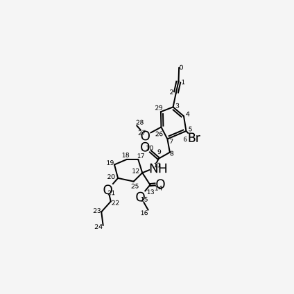 CC#Cc1cc(Br)c(CC(=O)NC2(C(=O)OC)CCCC(OCCC)C2)c(OC)c1